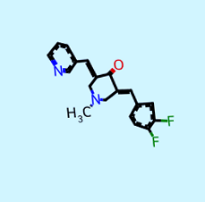 CN1C/C(=C\c2cccnc2)C(=O)/C(=C/c2ccc(F)c(F)c2)C1